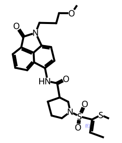 C/C=C(\SC)S(=O)(=O)N1CCCC(C(=O)Nc2ccc3c4c(cccc24)C(=O)N3CCCOC)C1